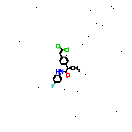 CC(C(=O)Nc1ccc(F)cc1)c1ccc(C=C(Cl)Cl)cc1